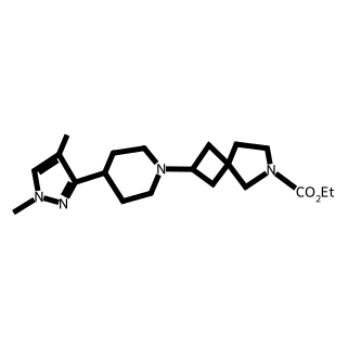 CCOC(=O)N1CCC2(CC(N3CCC(c4nn(C)cc4C)CC3)C2)C1